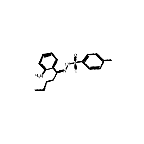 CCCCC(=NNS(=O)(=O)c1ccc(C)cc1)c1ccccc1N